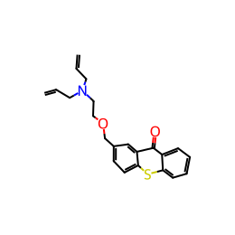 C=CCN(CC=C)CCOCc1ccc2sc3ccccc3c(=O)c2c1